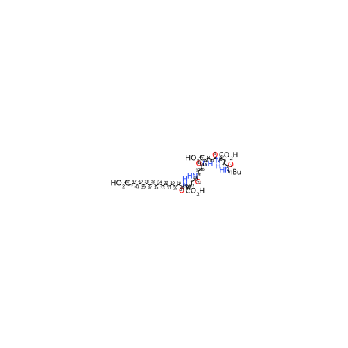 CCCCNC(=O)CC[C@H](NC(=O)CC[C@H](NC(=O)CCCNC(=O)CC[C@H](NC(=O)CCCCCCCCCCCCCCCCC(=O)O)C(=O)O)C(=O)O)C(=O)O